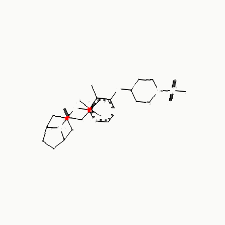 Cc1c(OC2CCN(S(C)(=O)=O)CC2)ncnc1OC1CC2CCC(C1)N2C(=O)CC(C)(C)C